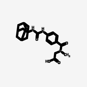 CN(CC(=O)O)C(=O)c1ccc(NC(=O)NC23CC4CC(CC(C4)C2)C3)cc1